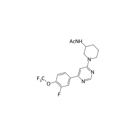 CC(=O)NC1CCCN(c2cc(-c3ccc(OC(F)(F)F)c(F)c3)ncn2)C1